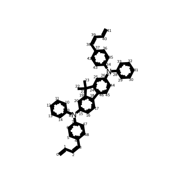 C=C/C=C\c1ccc(N(c2ccccc2)c2ccc3c(c2)C(C)(C)c2cc(N(c4ccccc4)c4ccc(/C=C\C=C)cc4)ccc2-3)cc1